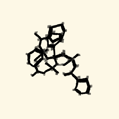 CC(C[Si](C)(C)O[Si](O[Si](C)(C)CC(C)c1ccccc1)(O[Si](C)(C)CC(C)c1ccccc1)c1ccccc1)c1ccccc1